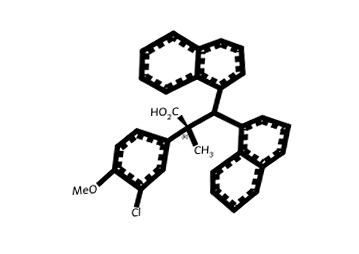 COc1ccc([C@](C)(C(=O)O)C(c2cccc3ccccc23)c2cccc3ccccc23)cc1Cl